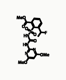 COC(=O)c1cccc(C(C)F)c1S(=O)(=O)NC(=O)Nc1nc(OC)cc(OC)n1